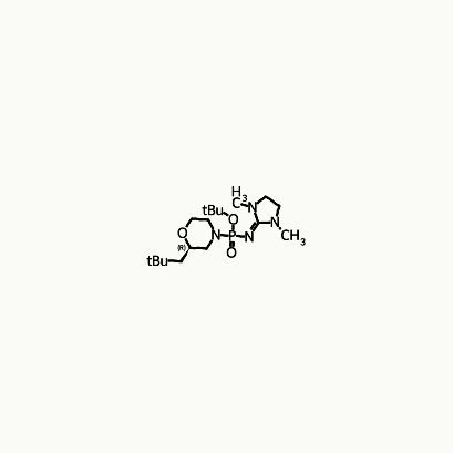 CN1CCN(C)C1=NP(=O)(OC(C)(C)C)N1CCO[C@H](CC(C)(C)C)C1